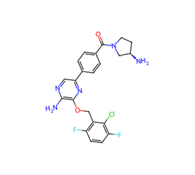 Nc1ncc(-c2ccc(C(=O)N3CC[C@@H](N)C3)cc2)nc1OCc1c(F)ccc(F)c1Cl